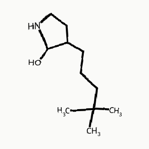 CC(C)(C)CCCC1CCNC1O